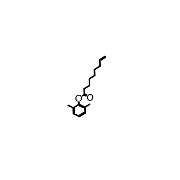 C=CCCCCCCC(=O)Oc1c(C)cccc1C